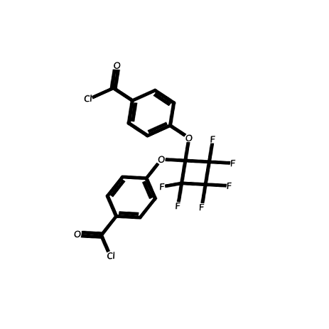 O=C(Cl)c1ccc(OC2(Oc3ccc(C(=O)Cl)cc3)C(F)(F)C(F)(F)C2(F)F)cc1